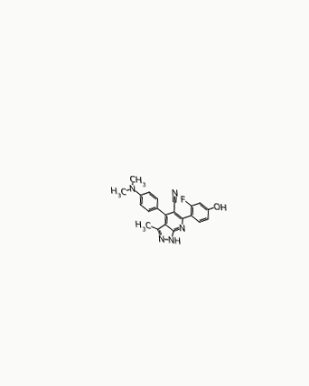 Cc1n[nH]c2nc(-c3ccc(O)cc3F)c(C#N)c(-c3ccc(N(C)C)cc3)c12